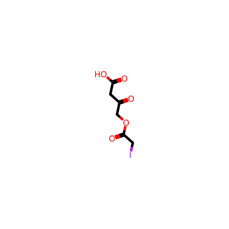 O=C(O)CC(=O)COC(=O)CI